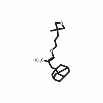 CC1(CCCOC=C(CC23CC4CC(CC(C4)C2)C3)C(=O)O)COC1